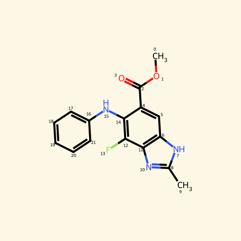 COC(=O)c1cc2[nH]c(C)nc2c(F)c1Nc1ccccc1